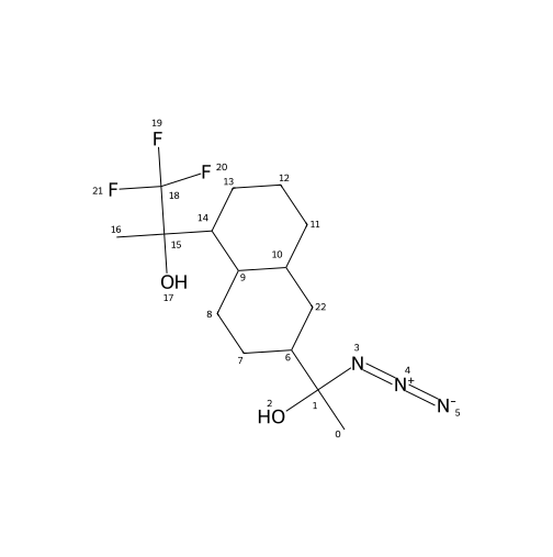 CC(O)(N=[N+]=[N-])C1CCC2C(CCCC2C(C)(O)C(F)(F)F)C1